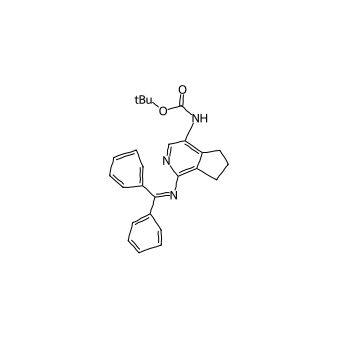 CC(C)(C)OC(=O)Nc1cnc(N=C(c2ccccc2)c2ccccc2)c2c1CCC2